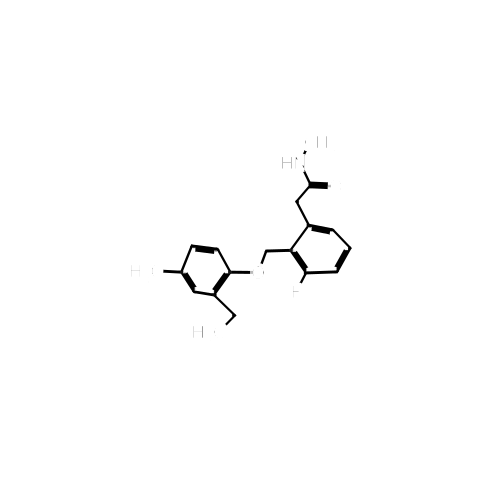 CCc1cc(C)ccc1OCc1c(F)cccc1CC(=O)NC